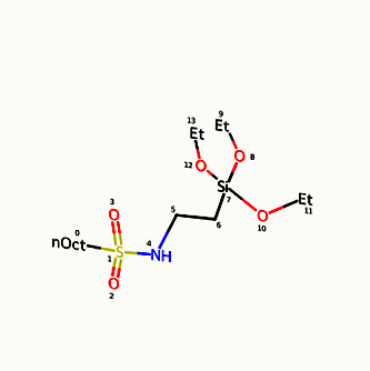 CCCCCCCCS(=O)(=O)NCC[Si](OCC)(OCC)OCC